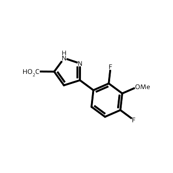 COc1c(F)ccc(-c2cc(C(=O)O)[nH]n2)c1F